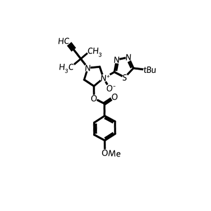 C#CC(C)(C)N1CC(OC(=O)c2ccc(OC)cc2)[N+]([O-])(c2nnc(C(C)(C)C)s2)C1